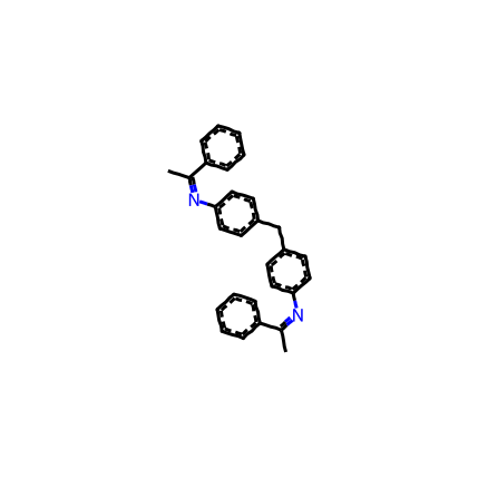 CC(=Nc1ccc(Cc2ccc(N=C(C)c3ccccc3)cc2)cc1)c1ccccc1